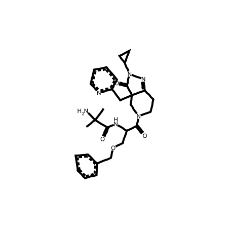 CC(C)(N)C(=O)NC(COCc1ccccc1)C(=O)N1CCC2=NN(C3CC3)C(=O)C2(Cc2ccccn2)C1